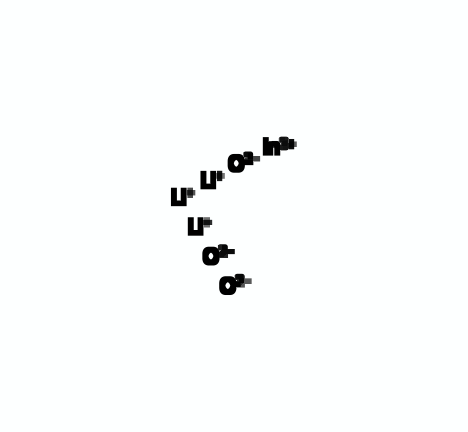 [In+3].[Li+].[Li+].[Li+].[O-2].[O-2].[O-2]